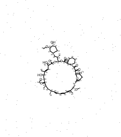 CO[C@H]1C[C@@H]2CC[C@@H](C)[C@@](O)(O2)C(=O)C(=O)N2CCCC[C@H]2C(=O)O[C@H]([C@H](C)C[C@@H]2CC[C@@H](O)[C@H](OC)C2)CC(=O)[C@](C)(O)/C=C(\C)[C@@H](O)[C@@H](OC)C(=O)[C@H](C)C[C@H](C)/C=C/C=C/C=C/1C